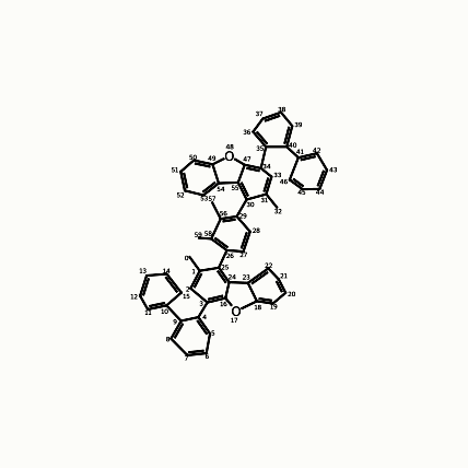 Cc1cc(-c2ccccc2-c2ccccc2)c2oc3ccccc3c2c1-c1ccc(-c2c(C)cc(-c3ccccc3-c3ccccc3)c3oc4ccccc4c23)c(C)c1C